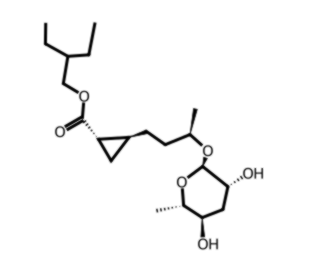 CCC(CC)COC(=O)[C@H]1C[C@@H]1CC[C@@H](C)O[C@@H]1O[C@@H](C)[C@H](O)C[C@H]1O